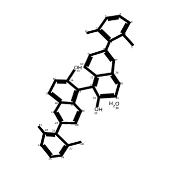 Cc1cccc(C)c1-c1ccc2c(-c3c(O)ccc4cc(-c5c(C)cccc5C)ccc34)c(O)ccc2c1.O